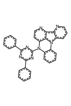 c1ccc(-c2nc(-c3ccccc3)nc(N3c4ccccc4-n4c5cccnc5c5nccc3c54)n2)cc1